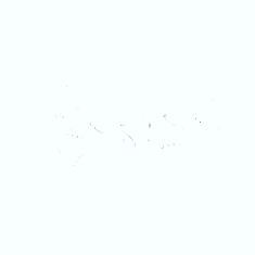 CCN(CC)c1ccc(/C=C/c2nc3c(N(CC)CC)cccc3o2)cc1